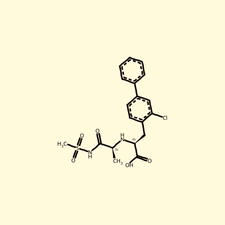 C[C@H](N[C@@H](Cc1ccc(-c2ccccc2)cc1Cl)C(=O)O)C(=O)NS(C)(=O)=O